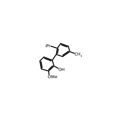 COc1cccc(-c2cc(C)ccc2C(C)C)c1O